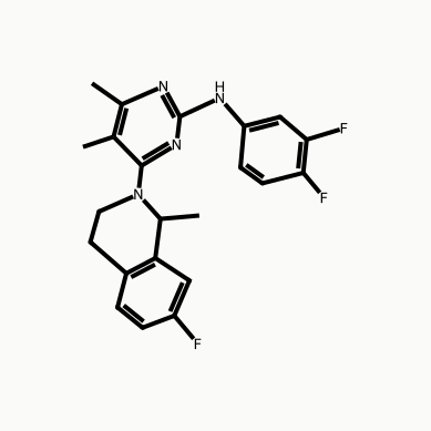 Cc1nc(Nc2ccc(F)c(F)c2)nc(N2CCc3ccc(F)cc3C2C)c1C